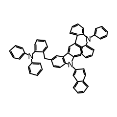 c1ccc(N(c2ccccc2)c2ccccc2Cc2ccc3c(c2)c2cc(-c4ccccc4N(c4ccccc4)c4ccccc4)ccc2n3-c2ccc3ccccc3c2)cc1